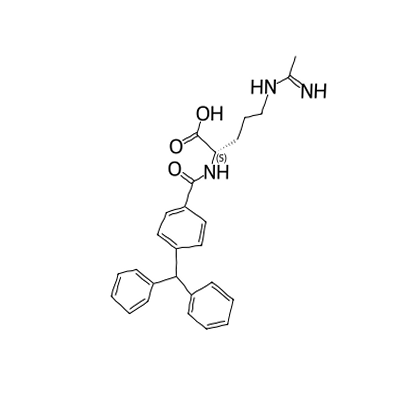 CC(=N)NCCC[C@H](NC(=O)c1ccc(C(c2ccccc2)c2ccccc2)cc1)C(=O)O